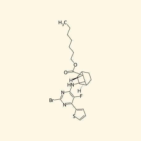 CCCCCCCOC(=O)[C@@H]1C2CCC(CC2)[C@H]1Nc1nc(Br)nc(-c2cccs2)c1F